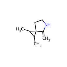 C=C1NCCC12C(C)C2C